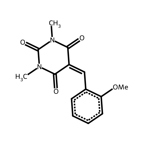 COc1ccccc1C=C1C(=O)N(C)C(=O)N(C)C1=O